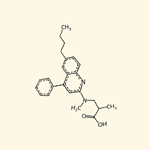 CCCCc1ccc2nc(N(C)CC(C)C(=O)O)cc(-c3ccccc3)c2c1